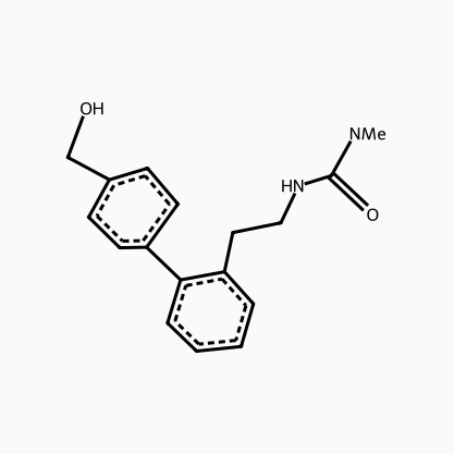 CNC(=O)NCCc1ccccc1-c1ccc(CO)cc1